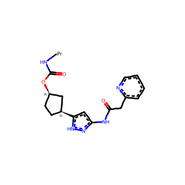 CC(C)NC(=O)O[C@@H]1CC[C@H](c2cc(NC(=O)Cc3ccccn3)n[nH]2)C1